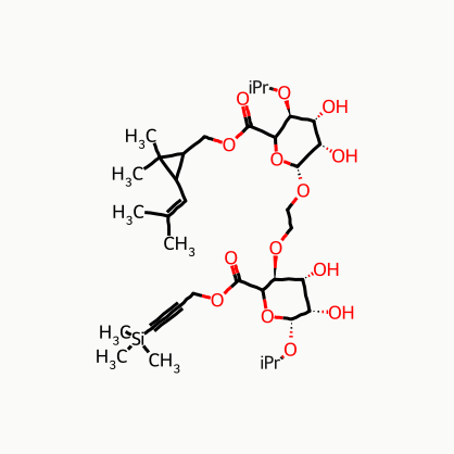 CC(C)=CC1C(COC(=O)C2O[C@@H](OCCO[C@@H]3C(C(=O)OCC#C[Si](C)(C)C)O[C@@H](OC(C)C)[C@@H](O)[C@H]3O)[C@@H](O)[C@@H](O)[C@@H]2OC(C)C)C1(C)C